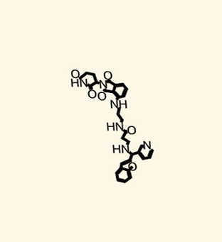 O=C(CCNC(c1cccnc1)c1cc2ccccc2o1)NCCCNc1cccc2c1C(=O)N(C1CCC(=O)NC1=O)C2=O